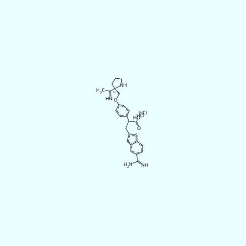 CC(=N)[C@]1(COc2ccc(C(Cc3cc4cc(C(=N)N)ccc4s3)C(=O)O)cc2)CCCN1.Cl.Cl